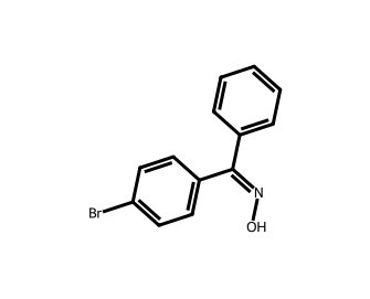 ON=C(c1ccccc1)c1ccc(Br)cc1